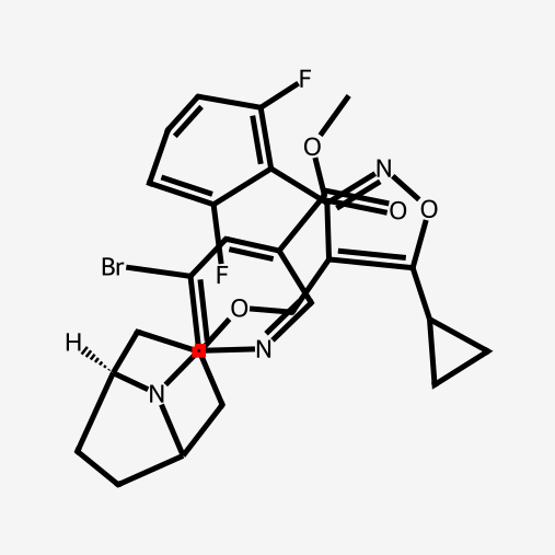 COC(=O)c1cnc(N2C3CC[C@H]2CC(OCc2c(-c4c(F)cccc4F)noc2C2CC2)C3)c(Br)c1